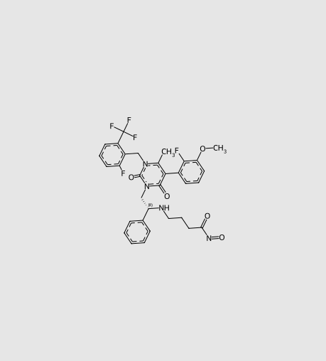 COc1cccc(-c2c(C)n(Cc3c(F)cccc3C(F)(F)F)c(=O)n(C[C@H](NCCCC(=O)N=O)c3ccccc3)c2=O)c1F